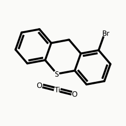 Brc1cccc2c1Cc1ccccc1S2.[O]=[Ti]=[O]